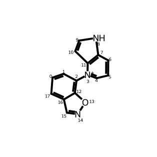 c1cc(-[n+]2cccc3[nH]ccc32)c2oncc2c1